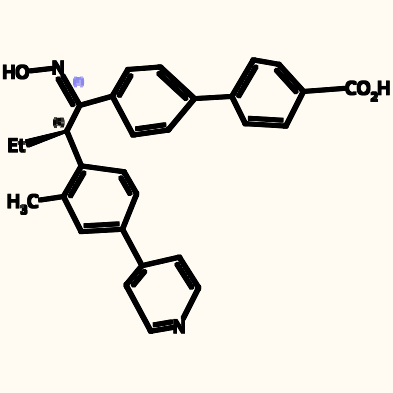 CC[C@@H](/C(=N\O)c1ccc(-c2ccc(C(=O)O)cc2)cc1)c1ccc(-c2ccncc2)cc1C